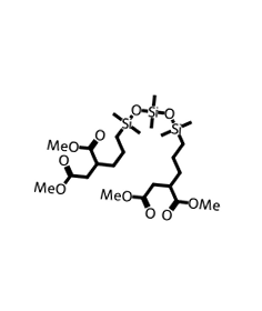 COC(=O)CC(CCC[Si](C)(C)O[Si](C)(C)O[Si](C)(C)CCCC(CC(=O)OC)C(=O)OC)C(=O)OC